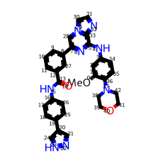 COc1cc(Nc2nc(-c3cccc(C(=O)Nc4ccc(-c5cn[nH]c5)cc4)c3)cn3ccnc23)ccc1N1CCOCC1